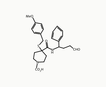 COc1ccc(CSC2(C(=O)NC(CCC=O)c3ccccc3)CCN(C(=O)O)CC2)cc1